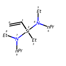 C=C[Si](CC)(N(CC)CCC)N(CC)CCC